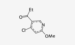 CCC(=O)c1cnc(OC)cc1Cl